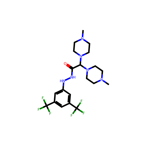 CN1CCN(C(C(=O)NNc2cc(C(F)(F)F)cc(C(F)(F)F)c2)N2CCN(C)CC2)CC1